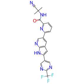 CC(C)(C#N)NC(=O)c1cccc(-c2cnc3[nH]c(-c4cnc(C(F)(F)F)nc4)cc3c2)n1